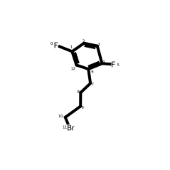 Fc1ccc(F)c(CCCCBr)c1